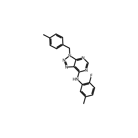 Cc1ccc(Cn2nnc3c(Nc4cc(C)ccc4F)ncnc32)cc1